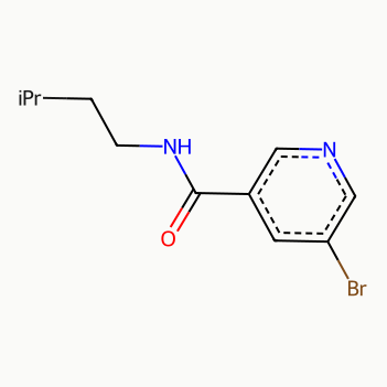 CC(C)CCNC(=O)c1cncc(Br)c1